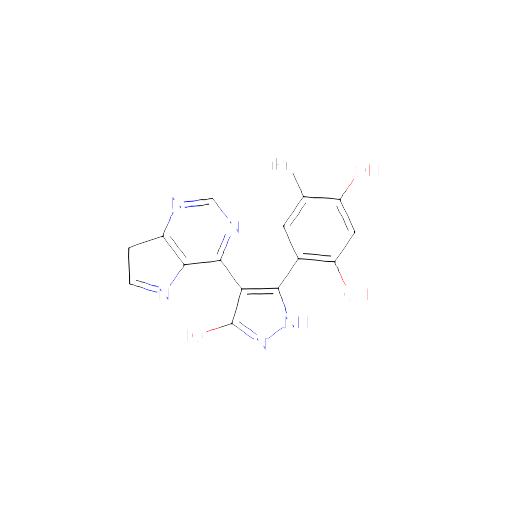 CC(C)c1cc(-c2[nH]nc(O)c2-c2ncnc3c2N=CC3)c(O)cc1O